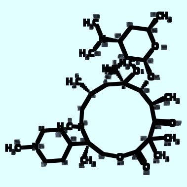 CO[C@]1(C)C[C@@H](C)CN(C)[C@](C)(C2CCN(C)CC2)COC(=O)C(C)(C)C(=O)[C@H](C)[C@H]1O[C@@H]1O[C@H](C)C[C@H](N(C)C)[C@H]1O